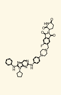 O=C1CCC(N2C(=O)c3cc(F)c(CN4CCN(c5ccc(Nc6ncc7nc(Nc8ccccc8)n(C8CCCC8)c7n6)cc5)CC4)cc3C2=O)C(=O)N1